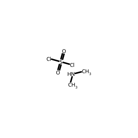 CNC.O=S(=O)(Cl)Cl